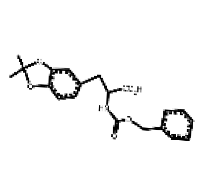 CC1(C)Oc2ccc(CC(NC(=O)OCc3ccccc3)C(=O)O)cc2O1